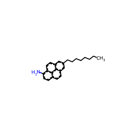 CCCCCCCCc1cc2ccc3ccc(N)c4ccc(c1)c2c34